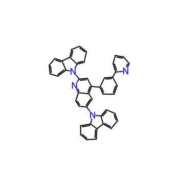 c1ccc(-c2cccc(-c3cc(-n4c5ccccc5c5ccccc54)nc4ccc(-n5c6ccccc6c6ccccc65)cc34)c2)nc1